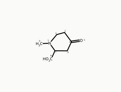 CN1CCC(=O)CC1C(=O)O